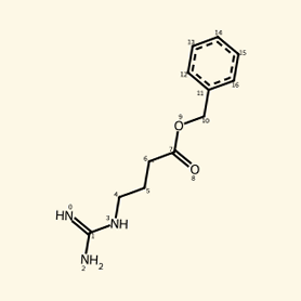 N=C(N)NCC[CH]C(=O)OCc1ccccc1